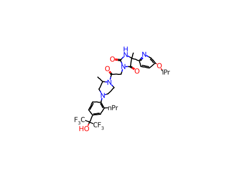 CCCc1cc(C(O)(C(F)(F)F)C(F)(F)F)ccc1N1CCN(C(=O)CN2C(=O)NC(C)(c3ccc(OC(C)C)cn3)C2=O)C(C)C1